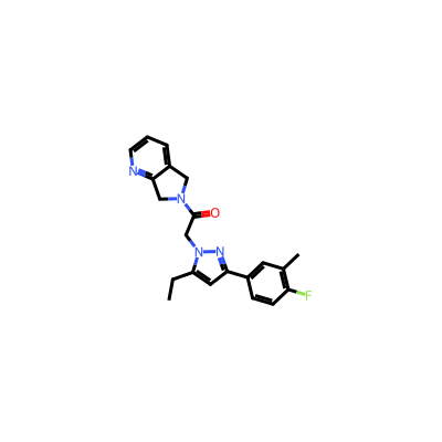 CCc1cc(-c2ccc(F)c(C)c2)nn1CC(=O)N1Cc2cccnc2C1